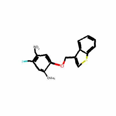 COc1cc(F)c([N+](=O)[O-])cc1OCc1csc2ccccc12